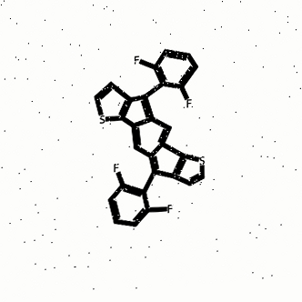 Fc1cccc(F)c1C1=c2cc3c(cc2-c2sccc21)=C(c1c(F)cccc1F)c1ccsc1-3